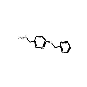 OBOc1ccc(OCc2ccccc2)nc1